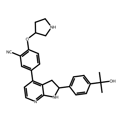 CC(C)(O)c1ccc(C2Cc3c(-c4ccc(OC5CCNC5)c(C#N)c4)ccnc3N2)cc1